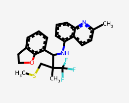 CSCC(C)(C(Nc1cccc2nc(C)ccc12)c1cccc2c1OCC2)C(F)(F)F